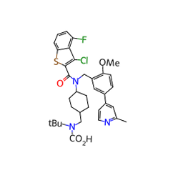 COc1ccc(-c2ccnc(C)c2)cc1CN(C(=O)c1sc2cccc(F)c2c1Cl)C1CCC(CN(C(=O)O)C(C)(C)C)CC1